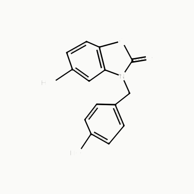 Cc1ccc2oc(=O)n(Cc3ccc(O)cc3)c2c1